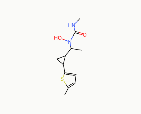 CNC(=O)N(O)C(C)C1CC1c1ccc(C)s1